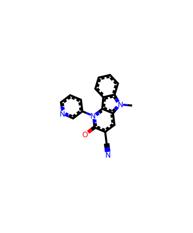 Cn1c2ccccc2c2c1cc(C#N)c(=O)n2-c1cccnc1